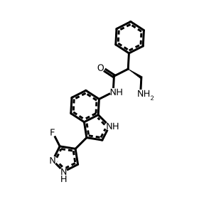 NC[C@@H](C(=O)Nc1cccc2c(-c3c[nH]nc3F)c[nH]c12)c1ccccc1